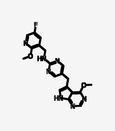 COc1ncc(F)cc1CNc1ncc(Cc2c[nH]c3ncnc(OC)c23)cn1